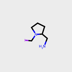 NCC1CCCN1CI